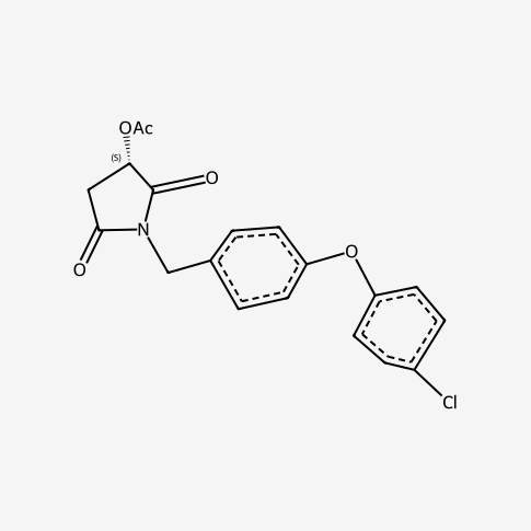 CC(=O)O[C@H]1CC(=O)N(Cc2ccc(Oc3ccc(Cl)cc3)cc2)C1=O